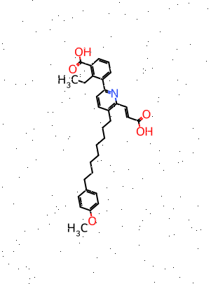 CCc1c(C(=O)O)cccc1-c1ccc(CCCCCCCCc2ccc(OC)cc2)c(/C=C/C(=O)O)n1